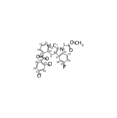 COC(=O)Cn1c(C)c(Cc2ccccc2S(=O)(=O)c2ccc(Cl)cc2Cl)c2cc(F)ccc21